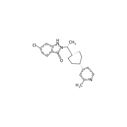 Cc1cc([C@H]2CC[C@@H]([C@@H](C)n3[nH]c4cc(Cl)ccc4c3=O)CC2)ccn1